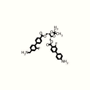 CC1(C)O[C@H](COC(=O)c2ccc(-c3ccc(CN)cc3F)cc2)[C@@H](COC(=O)c2ccc(-c3ccc(N)cc3)cc2F)O1